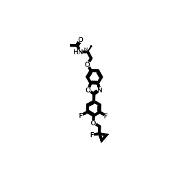 CC(=O)N[C@@H](C)COc1ccc2nc(-c3cc(F)c(OCC4(F)CC4)c(F)c3)oc2c1